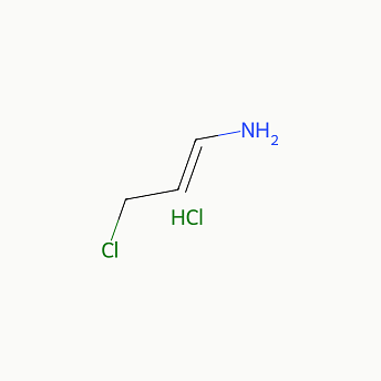 Cl.NC=CCCl